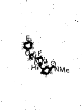 CNC(=O)c1cccc(Nc2ncc(F)c(N3CC(Oc4ccc(F)cc4)C3)n2)c1